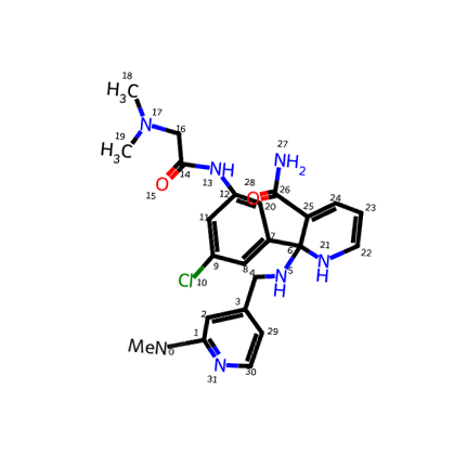 CNc1cc(CNC2(c3cc(Cl)cc(NC(=O)CN(C)C)c3)NC=CC=C2C(N)=O)ccn1